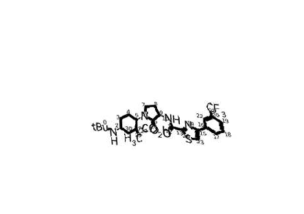 CC(C)(C)N[C@@H]1CC[C@H](N2CC[C@H](NC(=O)c3nc(-c4cccc(C(F)(F)F)c4)cs3)C2=O)[C@](C)(C(=O)O)C1